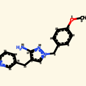 COc1ccc(Cn2cc(Cc3cccnc3)c(N)n2)cc1